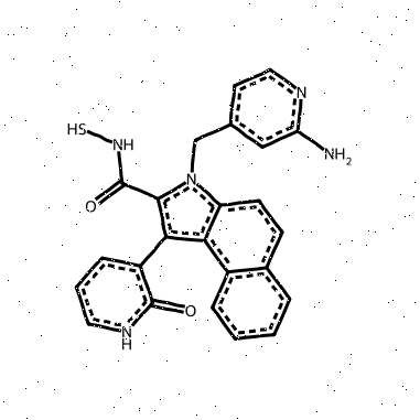 Nc1cc(Cn2c(C(=O)NS)c(-c3ccc[nH]c3=O)c3c4ccccc4ccc32)ccn1